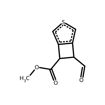 COC(=O)C1c2cscc2C1C=O